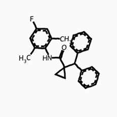 Cc1cc(F)cc(C)c1NC(=O)C1(C(c2ccccc2)c2ccccc2)CC1